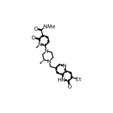 CCc1cc2ncc(CN3CCN(c4ccc(C(=O)NC)c(=O)n4C)C[C@@H]3C)cc2[nH]c1=O